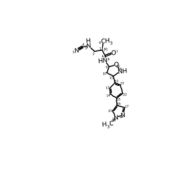 C[C@H](CNC#N)C(=O)NC1CC(c2ccc(-c3cnn(C)c3)cc2)NO1